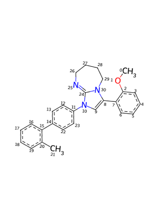 COc1ccccc1C1=CN(c2ccc(-c3ccccc3C)cc2)C2=NCCCCN12